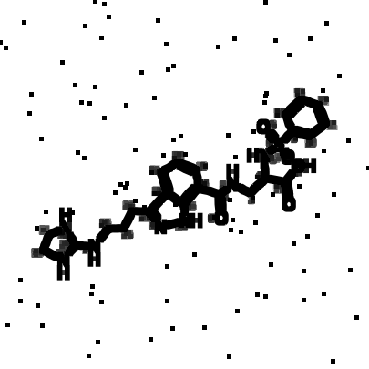 O=C(NCC(NS(=O)(=O)c1ccccc1)C(=O)O)c1cccc2c(CCCNC3NCCN3)n[nH]c12